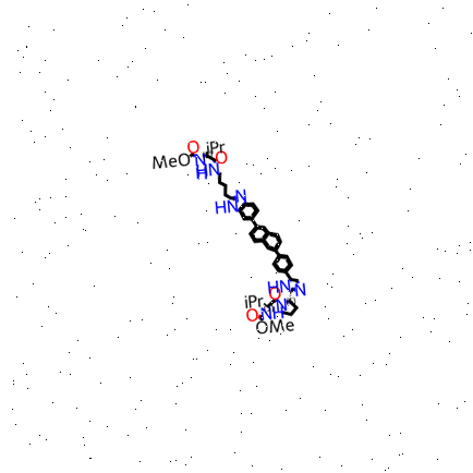 COC(=O)N[C@H](C(=O)NCCCCc1nc2ccc(-c3ccc4cc(-c5ccc(C6CN=C([C@@H]7CCCN7C(=O)[C@@H](NC(=O)OC)C(C)C)N6)cc5)ccc4c3)cc2[nH]1)C(C)C